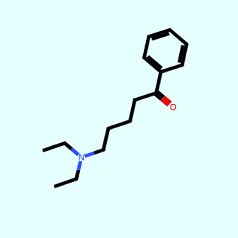 CCN(CC)CCCCC(=O)c1ccccc1